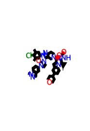 Cc1cc(-n2nc3c(c2-n2ccn(-c4ccc5c(cnn5C)c4)c2=O)CN(C(=O)c2cc4cc(C5CCOCC5)ccc4n2[C@@]2(c4noc(=O)[nH]4)C[C@@H]2C)CC3)cc(C)c1Cl